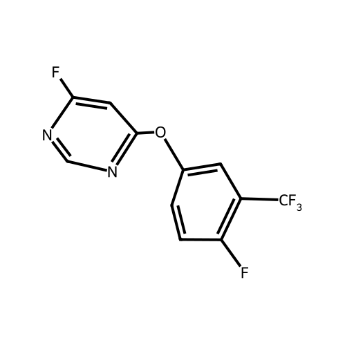 Fc1cc(Oc2ccc(F)c(C(F)(F)F)c2)ncn1